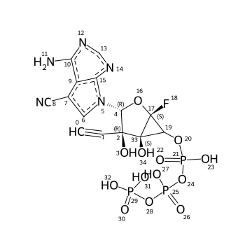 C#C[C@]1(O)[C@H](n2cc(C#N)c3c(N)ncnc32)O[C@]2(F)C(OP(=O)(O)OP(=O)(O)OP(=O)(O)O)[C@@]21O